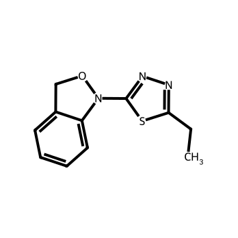 CCc1nnc(N2OCc3ccccc32)s1